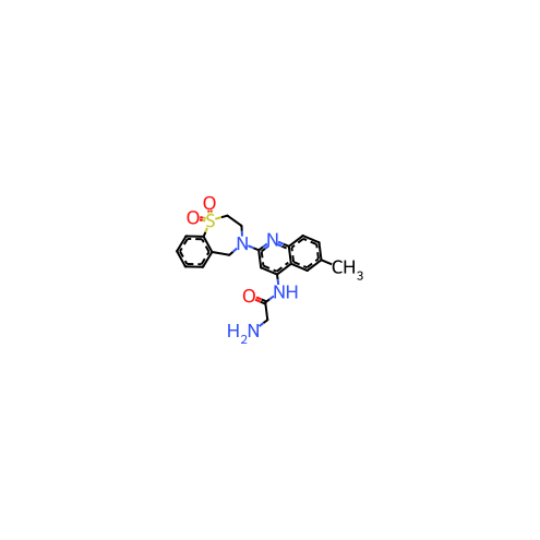 Cc1ccc2nc(N3CCS(=O)(=O)c4ccccc4C3)cc(NC(=O)CN)c2c1